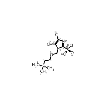 C[Si](C)(C)CCOCn1c(S(=O)(=O)Cl)nc(Cl)c1Cl